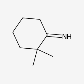 CC1(C)CCCCC1=N